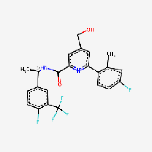 Cc1cc(F)ccc1-c1cc(CO)cc(C(=O)N[C@H](C)c2ccc(F)c(C(F)(F)F)c2)n1